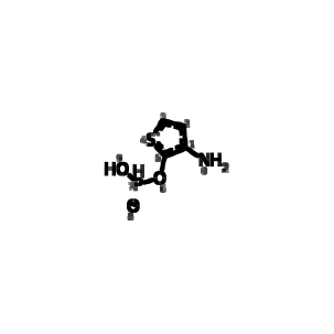 Nc1ccsc1O[PH](=O)O